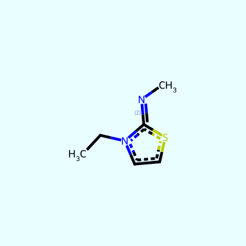 CCn1ccs/c1=N\C